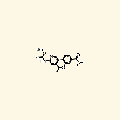 CC1Oc2cc(C(=O)N(C)C)ccc2-c2cnc(NC(=O)OC(C)(C)C)cc21